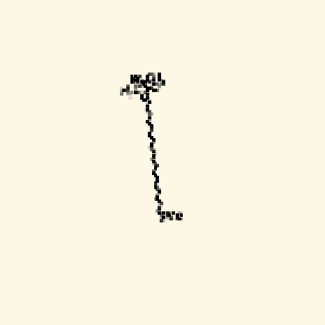 CSCCCCCCCCCCCCCCCCCCOC(=O)C(C)(C)Br